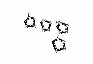 c1nnn[nH]1.c1nnn[nH]1.c1nnn[nH]1.c1nnn[nH]1